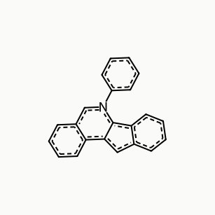 c1ccc(-n2cc3ccccc3c3cc4ccccc4c2-3)cc1